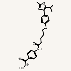 Cc1nc(-c2ccc(OCCCCC(=O)Nc3ccc(C(=N)NO)cc3)cc2)c(C(C)C)s1